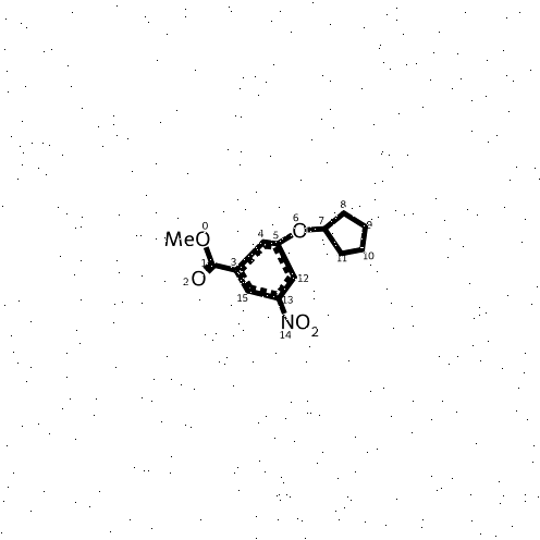 COC(=O)c1cc(OC2CCCC2)cc([N+](=O)[O-])c1